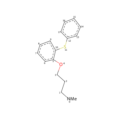 CNCCCOc1ccccc1Sc1ccccc1